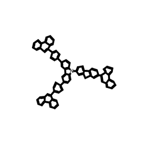 c1ccc2c(c1)cc(-c1ccc(-c3ccc4c(c3)c3cc(-c5ccc(-c6cc7ccccc7c7ccccc67)cc5)ccc3n4-c3ccc4c(c3)Cc3cc(-c5cc6ccccc6c6ccccc56)ccc3-4)cc1)c1ccccc12